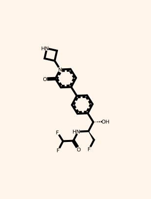 O=C(N[C@H](CF)[C@@H](O)c1ccc(-c2ccn(C3CNC3)c(=O)c2)cc1)C(F)F